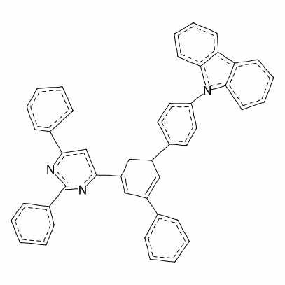 C1=C(c2ccccc2)C=C(c2cc(-c3ccccc3)nc(-c3ccccc3)n2)CC1c1ccc(-n2c3ccccc3c3ccccc32)cc1